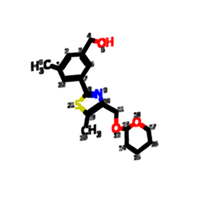 Cc1cc(CO)cc(-c2nc(COC3CCCCO3)c(C)s2)c1